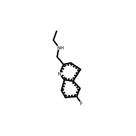 CCNCc1ccc2cc(F)ccc2n1